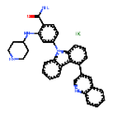 Cl.NC(=O)c1ccc(-n2c3ccccc3c3c(-c4cnc5ccccc5c4)cccc32)cc1NC1CCNCC1